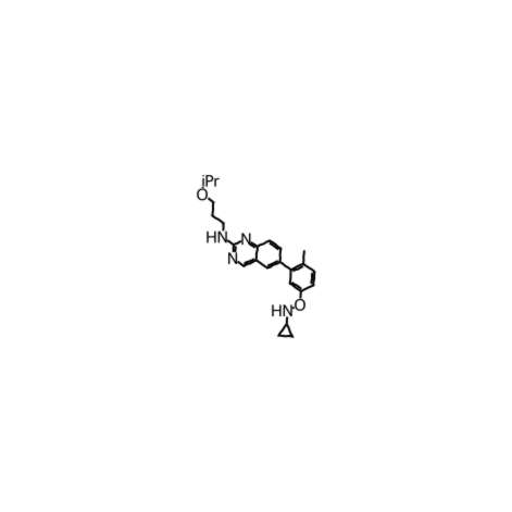 Cc1ccc(ONC2CC2)cc1-c1ccc2nc(NCCCOC(C)C)ncc2c1